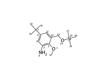 COc1c(N)cc(C(C)(C)C)cc1CO[Si](C)(C)C